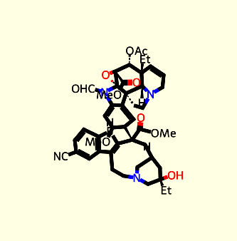 CC[C@]1(O)C[C@H]2CN(CCC3=C(Bc4ccc(C#N)cc43)[C@@](C(=O)OC)(C3C=C4C(=CC3OC)N(C=O)[C@@]35O[C@]3(C(=O)OC)[C@H](OC(C)=O)[C@]3(CC)C=CCN6CC[C@]45[C@@H]63)C2)C1